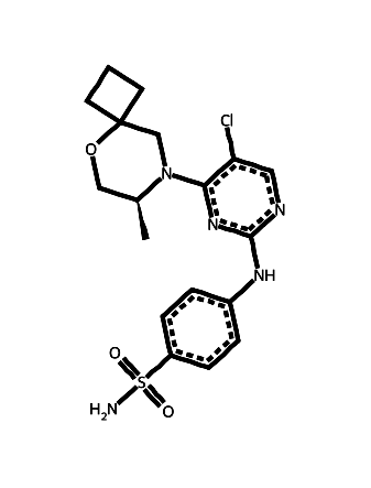 C[C@H]1COC2(CCC2)CN1c1nc(Nc2ccc(S(N)(=O)=O)cc2)ncc1Cl